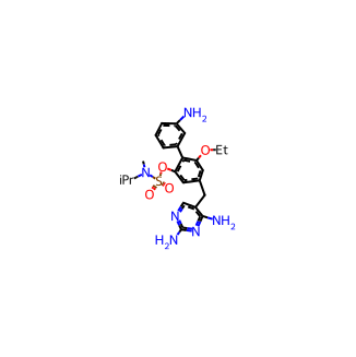 CCOc1cc(Cc2cnc(N)nc2N)cc(OS(=O)(=O)N(C)C(C)C)c1-c1cccc(N)c1